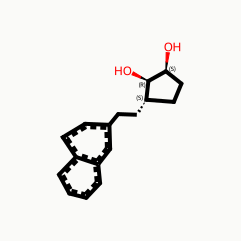 O[C@@H]1[C@@H](CCc2ccc3ccccc3c2)CC[C@@H]1O